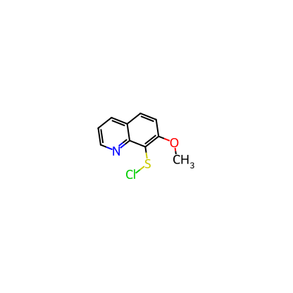 COc1ccc2cccnc2c1SCl